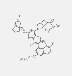 CCc1c(F)ccc2cc(OCOC)cc(-c3ncc4c(N5CC6CC(C(=O)N(C)C(C)=O)C6C5)nc(OC[C@@]56CCCN5C[C@H](F)C6)nc4c3F)c12